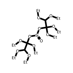 CCOC(OCC)C(OCC)(OCC)O[Si](=O)OC(OCC)(OCC)C(OCC)OCC